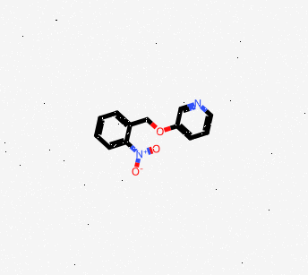 O=[N+]([O-])c1ccccc1COc1cccnc1